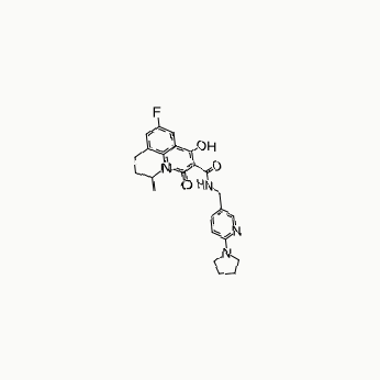 CC1CCc2cc(F)cc3c(O)c(C(=O)NCc4ccc(N5CCCC5)nc4)c(=O)n1c23